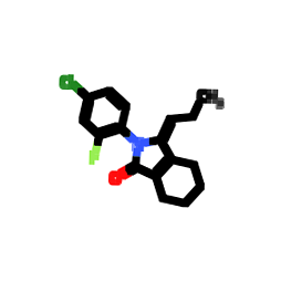 CC/C=C1\C2=C(CCCC2)C(=O)N1c1ccc(Cl)cc1F